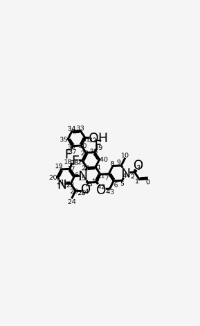 C=CC(=O)N1CC2=C(CC1C)c1c(c(=O)n(-c3c(C)ccnc3C(C)C)c3c(F)c(-c4c(O)cccc4F)c(F)cc13)OC2